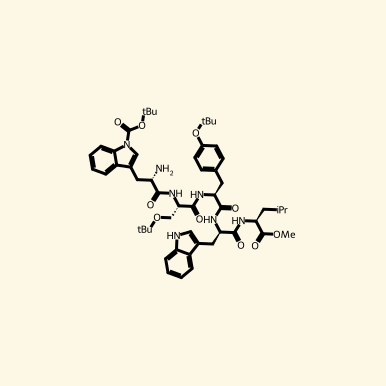 COC(=O)[C@H](CC(C)C)NC(=O)[C@@H](Cc1c[nH]c2ccccc12)NC(=O)[C@H](Cc1ccc(OC(C)(C)C)cc1)NC(=O)[C@H](COC(C)(C)C)NC(=O)[C@@H](N)Cc1cn(C(=O)OC(C)(C)C)c2ccccc12